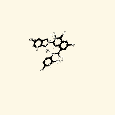 Cc1cc([C@@H](C)Nc2ccc(Cl)nc2C(=O)O)c2nc(N3Cc4cc(Cl)cnc4[C@H]3C)n(C)c(=O)c2c1